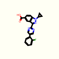 O=C(O)c1ccc2c(c1)c(-c1ncc(-c3ccccc3F)cn1)nn2C1CC1